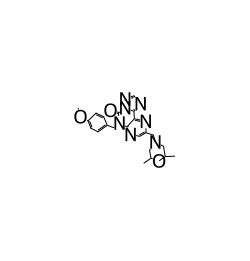 COc1ccc(Cn2c(=O)n3ncnc3c3nc(CN4CC(C)OC(C)C4)cnc32)cc1